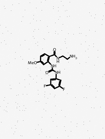 COc1ccc(C(=O)NCCN)c(NC(=O)Nc2cc(F)cc(F)c2)c1